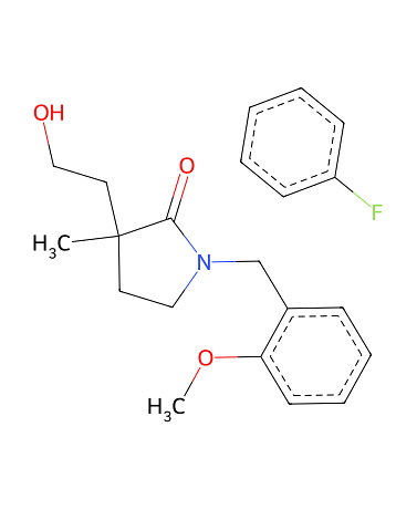 COc1ccccc1CN1CCC(C)(CCO)C1=O.Fc1ccccc1